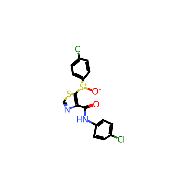 O=C(Nc1ccc(Cl)cc1)c1ncsc1[S+]([O-])c1ccc(Cl)cc1